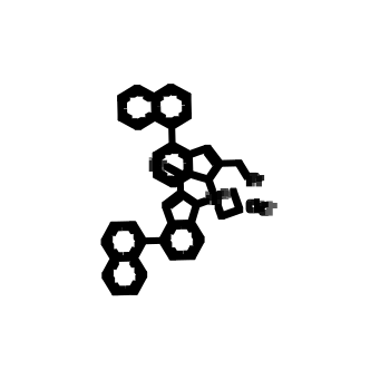 CC(C)CC1=Cc2c(-c3cccc4ccccc34)cccc2[CH]1[Hf+2]1([CH]2C(CC(C)C)=Cc3c(-c4cccc5ccccc45)cccc32)[CH2]C[CH2]1.[Cl-].[Cl-]